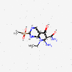 CCn1c(N)c(C(N)=O)c(=O)c2cnc(S(C)(=O)=O)nc21